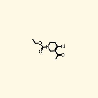 CCOC(=O)N1CCC(Cl)=C(C(C)=O)C1